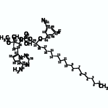 CCCCCCCCCCCCCCCCCCC[C@@H](COP(=O)(O)OC[C@](C)(CCc1ccc2c(N)ncnn12)OC)OCc1cc(F)cc(C#N)c1